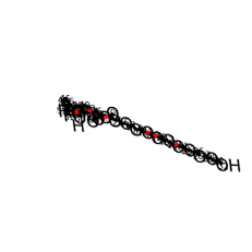 O=C(OCCOCCOCCOCCOCCOCCOCCOCCOCCOCCO)OC[C@@H]1CN(c2ccc3cc(-c4ccccc4C(F)(F)F)[nH]c(=O)c3c2)C(=O)O1